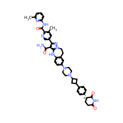 Cc1cccc(NC(=O)c2ncc(-c3nn4c(c3C(N)=O)Nc3ccc(N5CCN(C6CC(c7ccc([C@H]8CCC(=O)NC8=O)cc7)C6)CC5)cc3CC4)cc2C)n1